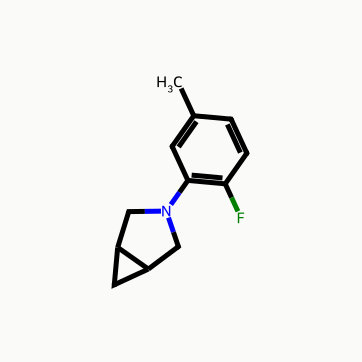 Cc1ccc(F)c(N2CC3CC3C2)c1